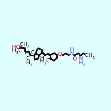 C=C1CC[C@H](OCCCNC(=O)CC(N)CC)C/C1=C/C=C1\CCC[C@]2(C)C([C@H](C)CCCC(C)(C)O)CC[C@@H]12